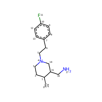 CCC1CCN(CCc2ccc(F)cc2)CC1CN